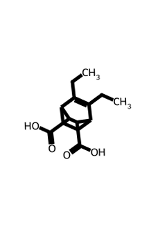 CCC1=C(CC)C2CCC1C(C(=O)O)C2C(=O)O